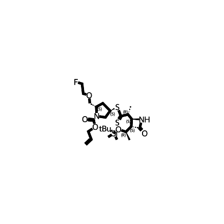 C=CCOC(=O)N1C[C@@H](SC(=S)[C@H](C)[C@H]2NC(=O)[C@@H]2[C@@H](C)O[Si](C)(C)C(C)(C)C)C[C@H]1COCCF